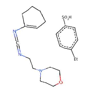 C(=NCCN1CCOCC1)=NC1=CCCCC1.CCc1ccc(S(=O)(=O)O)cc1